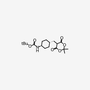 CC(C)(C)OC(=O)N[C@H]1CC[C@H](CC2C(=O)OC(C)(C)OC2=O)CC1